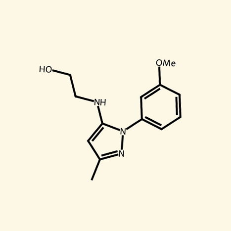 COc1cccc(-n2nc(C)cc2NCCO)c1